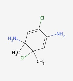 CC1(N)C=C(Cl)C(N)=CC1(C)Cl